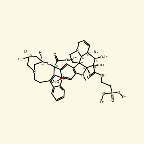 CCOP(=O)(CCNC(=O)[C@@]1(O)[C@H](OC(C)=O)[C@]2(CC)C=CCN3CC[C@@]4(c5cc([C@@]6(C(=O)OC)C[C@H]7CN(CCc8c6[nH]c6ccccc86)C[C@](O)(CC)C7)c(OC)cc5N(C)[C@@H]14)[C@@H]32)OCC